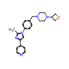 Cc1nc(-c2ccncc2)cn1-c1ccc(CN2CCN(C3COC3)CC2)cc1